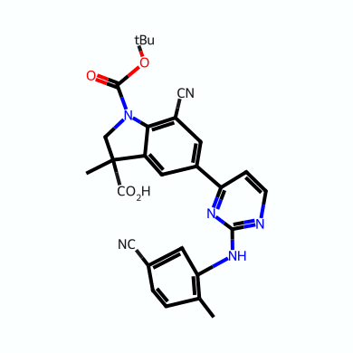 Cc1ccc(C#N)cc1Nc1nccc(-c2cc(C#N)c3c(c2)C(C)(C(=O)O)CN3C(=O)OC(C)(C)C)n1